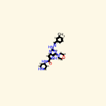 Cc1cccc(/C=N/Nc2nc(N3CCOCC3)c3[nH]c(C(=O)NC4CCNCC4)cc3n2)c1